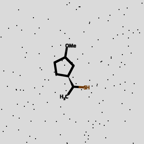 COC1CC[C@@H](C(C)S)C1